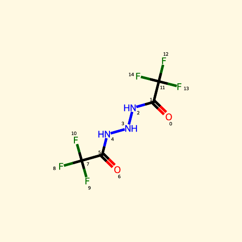 O=C(NNNC(=O)C(F)(F)F)C(F)(F)F